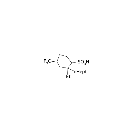 CCCCCCCC1(CC)CC(C(F)(F)F)CCC1S(=O)(=O)O